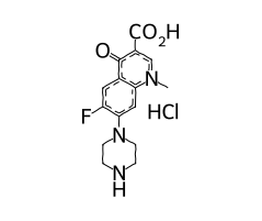 Cl.Cn1cc(C(=O)O)c(=O)c2cc(F)c(N3CCNCC3)cc21